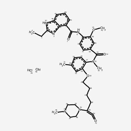 CCc1nc2c(C(=O)Nc3ccc(C(=O)N(C)c4ccc(C)cc4OCCCCC(=C=O)N4CCN(C)CC4)cc3OC)cccc2[nH]1.Cl.Cl